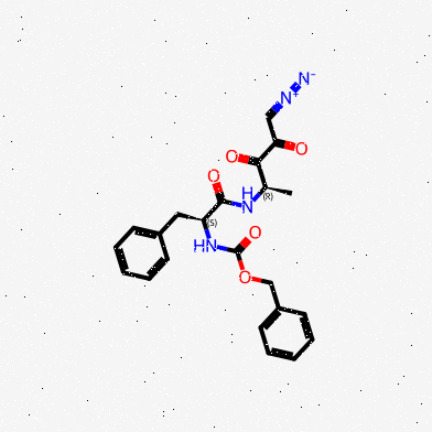 C[C@@H](NC(=O)[C@H](Cc1ccccc1)NC(=O)OCc1ccccc1)C(=O)C(=O)C=[N+]=[N-]